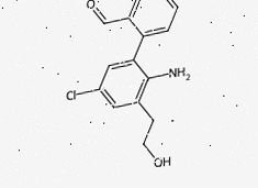 Nc1c(CCO)cc(Cl)cc1-c1ccccc1C=O